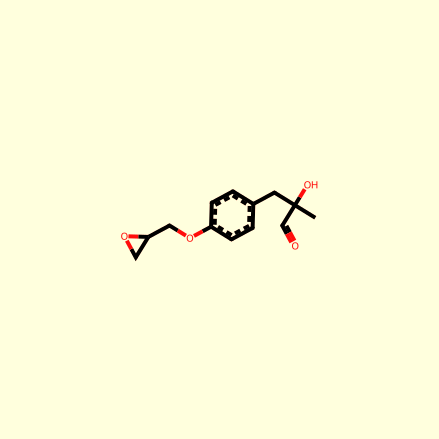 CC(O)(C=O)Cc1ccc(OCC2CO2)cc1